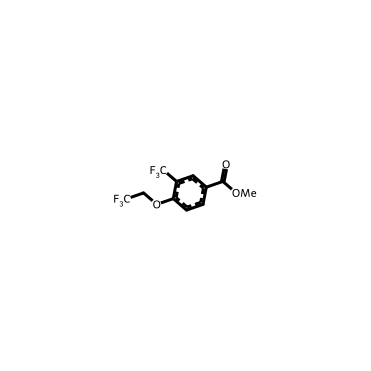 COC(=O)c1ccc(OCC(F)(F)F)c(C(F)(F)F)c1